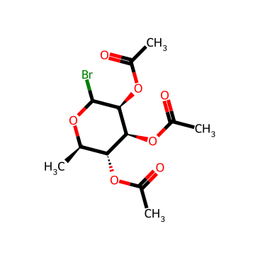 CC(=O)O[C@H]1[C@H](OC(C)=O)[C@@H](C)OC(Br)[C@H]1OC(C)=O